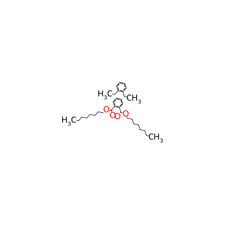 CCCCCCCCOC(=O)c1ccccc1C(=O)OCCCCCCCC.CCc1ccccc1CC